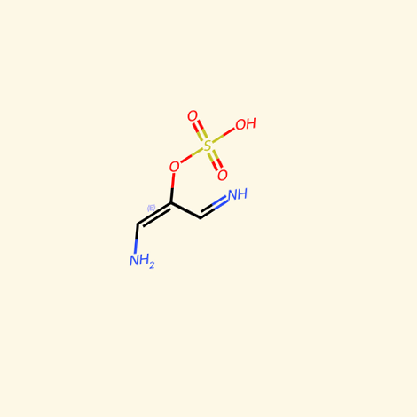 N=C/C(=C\N)OS(=O)(=O)O